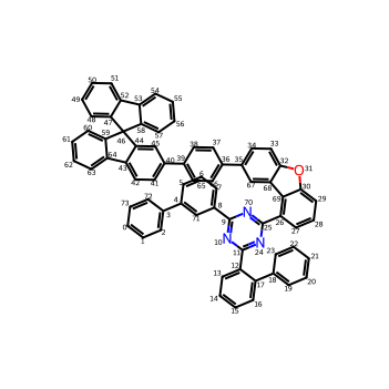 c1ccc(-c2cccc(-c3nc(-c4ccccc4-c4ccccc4)nc(-c4cccc5oc6ccc(-c7ccc(-c8ccc9c(c8)C8(c%10ccccc%10-c%10ccccc%108)c8ccccc8-9)cc7)cc6c45)n3)c2)cc1